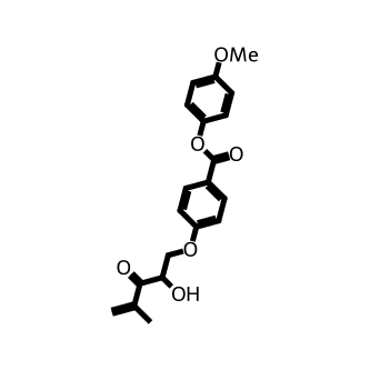 C=C(C)C(=O)C(O)COc1ccc(C(=O)Oc2ccc(OC)cc2)cc1